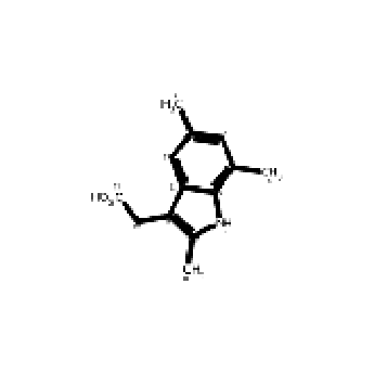 Cc1cc(C)c2[nH]c(C)c(CC(=O)O)c2c1